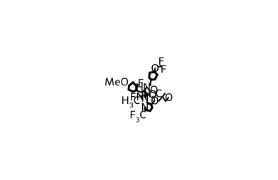 COc1cc(F)c(-c2c(NC(=O)c3ccc(OC(F)F)cc3)c(=O)n(-c3nc(C(F)(F)F)ccc3OCC3(C)COC3)n2C)c(F)c1